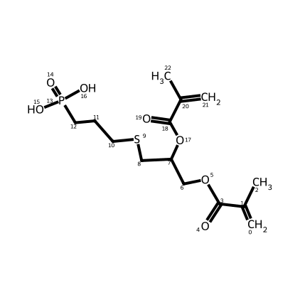 C=C(C)C(=O)OCC(CSCCCP(=O)(O)O)OC(=O)C(=C)C